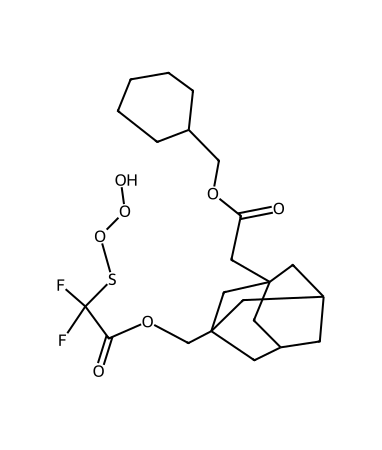 O=C(CC12CC3CC(CC(COC(=O)C(F)(F)SOOO)(C3)C1)C2)OCC1CCCCC1